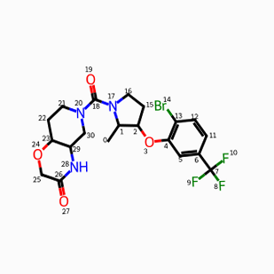 CC1C(Oc2cc(C(F)(F)F)ccc2Br)CCN1C(=O)N1CCC2OCC(=O)NC2C1